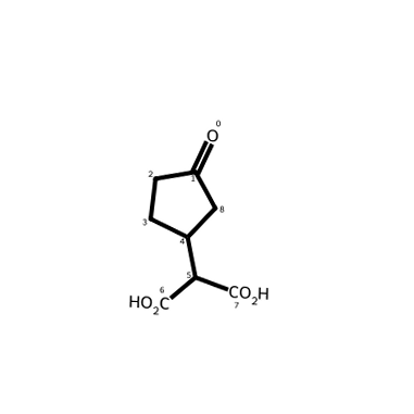 O=C1CCC(C(C(=O)O)C(=O)O)C1